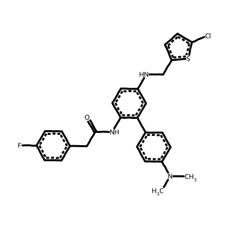 CN(C)c1ccc(-c2cc(NCc3ccc(Cl)s3)ccc2NC(=O)Cc2ccc(F)cc2)cc1